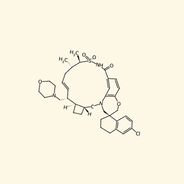 C[C@@H]1[C@@H](C)C/C=C/[C@@H](CN2CCOCC2)[C@@H]2CC[C@H]2CN2C[C@@]3(CCCc4cc(Cl)ccc43)COc3ccc(cc32)C(=O)NS1(=O)=O